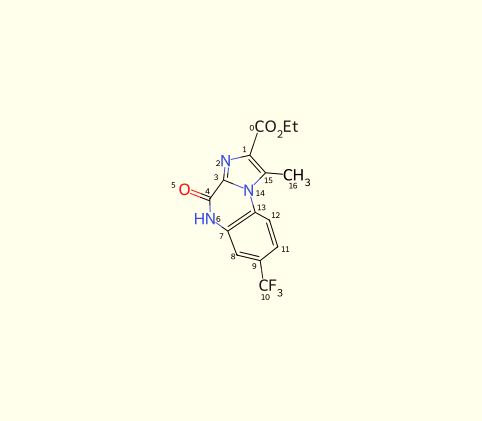 CCOC(=O)c1nc2c(=O)[nH]c3cc(C(F)(F)F)ccc3n2c1C